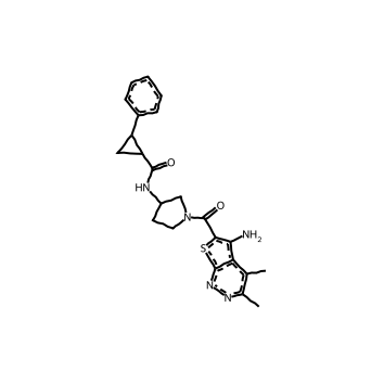 Cc1nnc2sc(C(=O)N3CCC(NC(=O)C4CC4c4ccccc4)C3)c(N)c2c1C